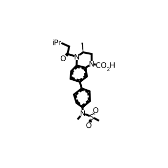 CC(C)CC(=O)N1c2ccc(-c3ccc(N(C)S(C)(=O)=O)cc3)cc2N(C(=O)O)C[C@@H]1C